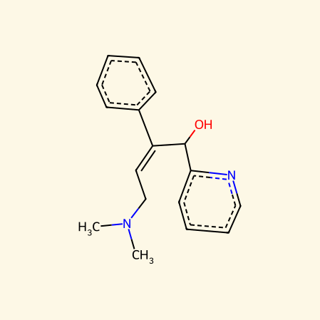 CN(C)CC=C(c1ccccc1)C(O)c1ccccn1